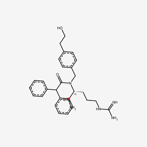 N=C(N)NCCC[C@H](C(N)=O)N(Cc1ccc(CCO)cc1)C(=O)C(c1ccccc1)c1ccccc1